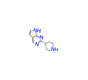 c1cc2cnc(C3CCNCC3)nc2[nH]1